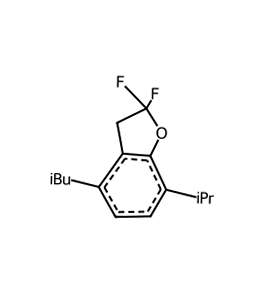 CCC(C)c1ccc(C(C)C)c2c1CC(F)(F)O2